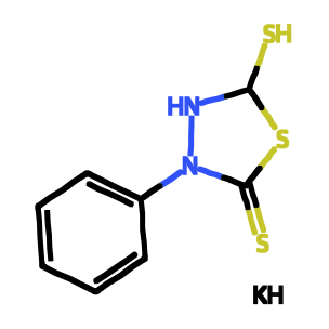 S=C1SC(S)NN1c1ccccc1.[KH]